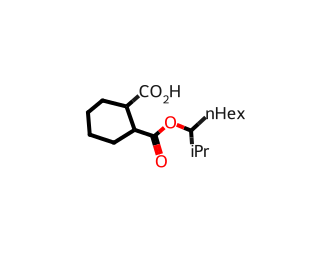 CCCCCCC(OC(=O)C1CCCCC1C(=O)O)C(C)C